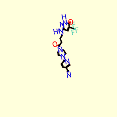 N#Cc1ccc(N2CCN(C(=O)CCCNc3cc(C(F)(F)F)c(=O)[nH]n3)CC2)nc1